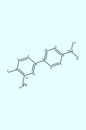 Cc1ccc(-c2ccc(N(C)C)cc2)cc1C(C)C